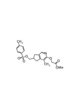 COC(=O)COc1ncc2c(c1C)CC(COS(=O)(=O)c1ccc(C)cc1)C2